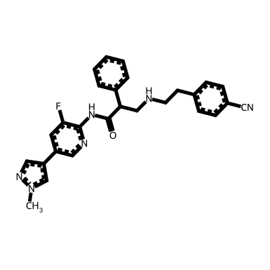 Cn1cc(-c2cnc(NC(=O)C(CNCCc3ccc(C#N)cc3)c3ccccc3)c(F)c2)cn1